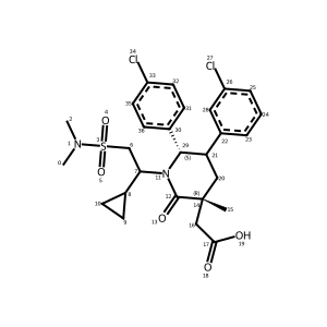 CN(C)S(=O)(=O)CC(C1CC1)N1C(=O)[C@@](C)(CC(=O)O)CC(c2cccc(Cl)c2)[C@H]1c1ccc(Cl)cc1